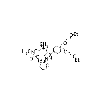 CCOCCOCC1(COCCOCC)CC=C(c2nn(C3CCCCO3)cc2CN(C)CCN(C)C(=O)OC(C)(C)C)CC1